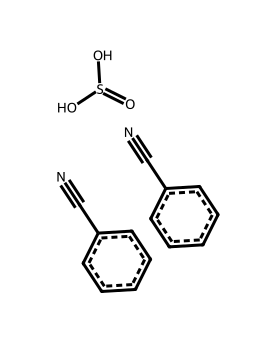 N#Cc1ccccc1.N#Cc1ccccc1.O=S(O)O